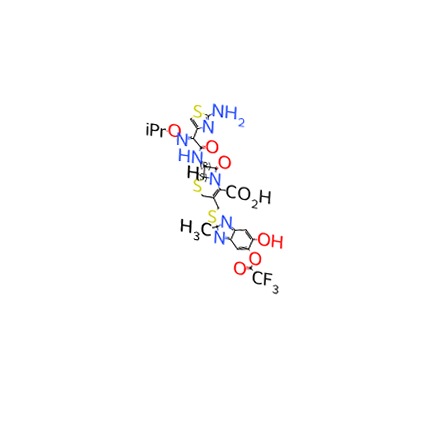 CC(C)ON=C(C(=O)N[C@@H]1C(=O)N2C(C(=O)O)=C(CSC3(C)N=c4cc(O)c(OC(=O)C(F)(F)F)cc4=N3)CS[C@@H]12)c1csc(N)n1